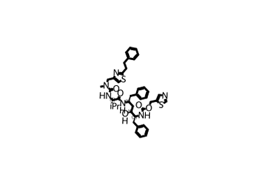 CC(C)[C@H](NC(=O)N(C)Cc1csc(CCc2ccccc2)n1)C(=O)N[C@@H](Cc1ccccc1)C[C@H](O)[C@H](Cc1ccccc1)NC(=O)OCc1cncs1